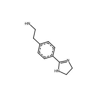 [NH]CCc1ccc(C2=NCCN2)cc1